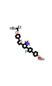 CCCCOc1ccc(-c2ccc(-c3ccc(-c4ccc(-c5ccc(OCC(CC)CCCC)cc5)s4)c4nsnc34)c(F)c2)cc1